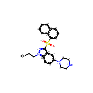 CCCn1nc(S(=O)(=O)c2cccc3ccccc23)c2cc(N3CCNCC3)ccc21